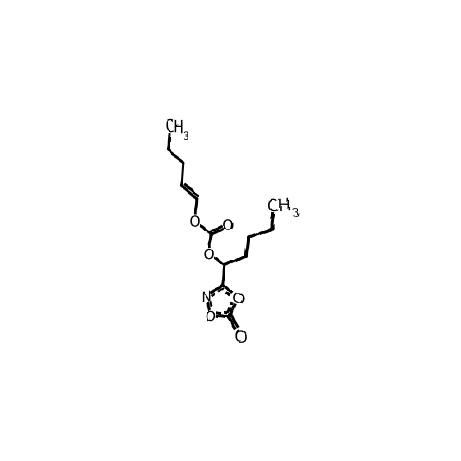 CCC/C=C/OC(=O)OC(CCCC)c1noc(=O)o1